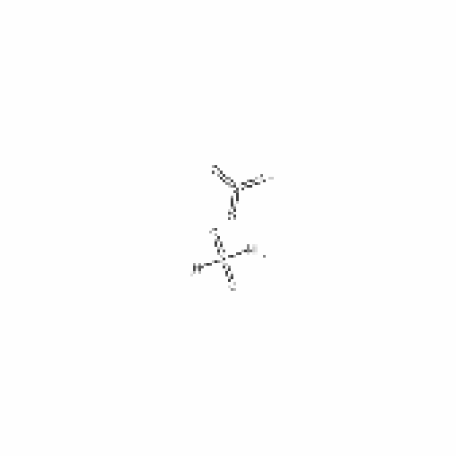 N=S(=O)=O.NS(N)(=O)=O